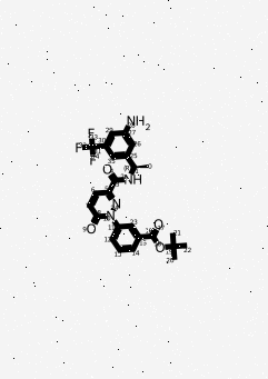 C[C@@H](NC(=O)c1ccc(=O)n(-c2cccc(C(=O)OC(C)(C)C)c2)n1)c1cc(N)cc(C(F)(F)F)c1